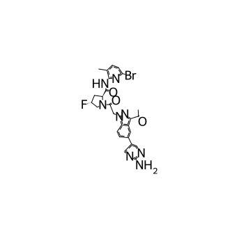 CC(=O)c1nn(CC(=O)N2C[C@H](F)C[C@H]2C(=O)Nc2nc(Br)ccc2C)c2ccc(-c3cnc(N)nc3)cc12